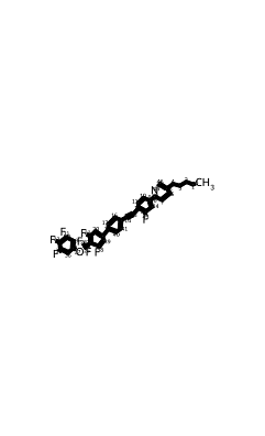 CCCCCc1ccc(-c2ccc(C#Cc3ccc(-c4cc(F)c(C(F)(F)Oc5cc(F)c(F)c(F)c5)c(F)c4)cc3)c(F)c2)nc1